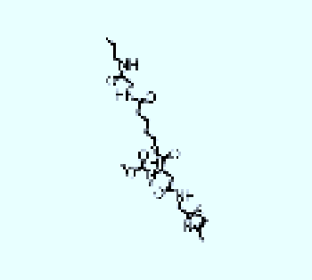 CCCNC(=O)CNC(=O)CCCCNC(=O)C(CC(=O)NCc1nc(C)cs1)N(C)C(=O)OC